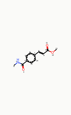 CNC(=O)c1ccc(C=CC(=O)OC)cc1